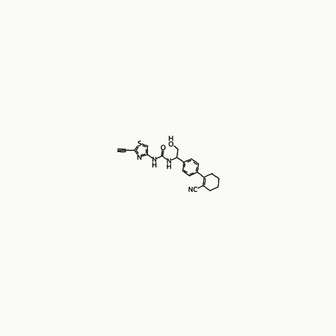 C#Cc1nc(NC(=O)NC(CO)c2ccc(C3=C(C#N)CCCC3)cc2)cs1